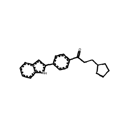 O=C(CCC1CCCC1)c1ccc(-c2cc3ccccc3[nH]2)cc1